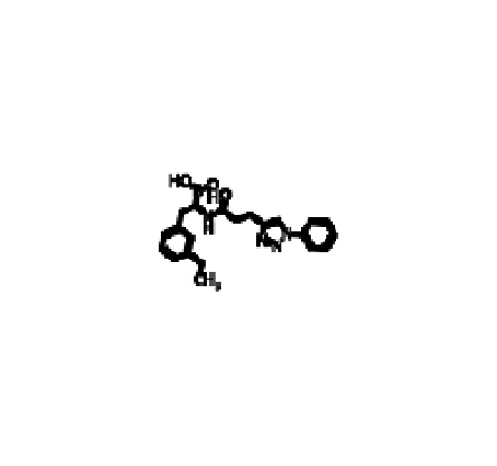 CCc1cccc(C[C@H](NC(=O)CCc2cn(-c3ccccc3)nn2)B(O)O)c1